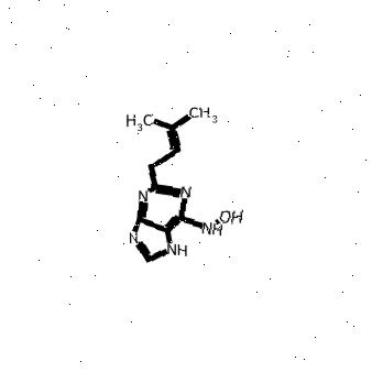 CC(C)=CCc1nc(NO)c2[nH]cnc2n1